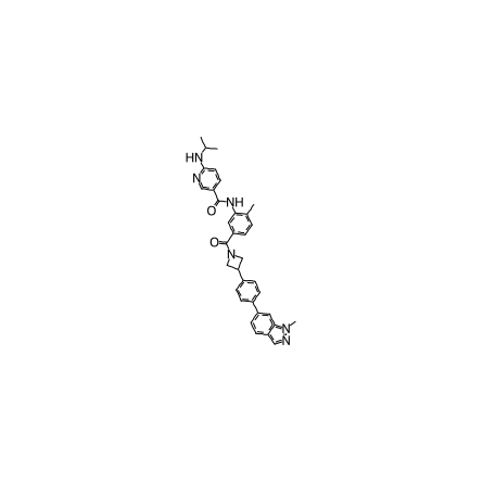 Cc1ccc(C(=O)N2CC(c3ccc(-c4ccc5cnn(C)c5c4)cc3)C2)cc1NC(=O)c1ccc(NC(C)C)nc1